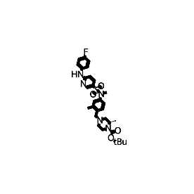 Cc1cc(N(C)S(=O)(=O)c2ccc(Nc3ccc(F)cc3)nc2)ccc1CN1CCN(C(=O)OC(C)(C)C)[C@@H](C)C1